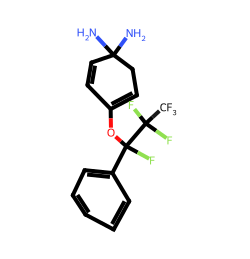 NC1(N)C=CC(OC(F)(c2ccccc2)C(F)(F)C(F)(F)F)=CC1